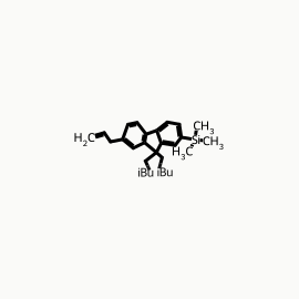 C=CCc1ccc2c(c1)C(CC(C)CC)(CC(C)CC)c1cc([Si](C)(C)C)ccc1-2